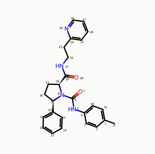 Cc1ccc(NC(=O)N2[C@@H](c3ccccc3)CC[C@H]2C(=O)NCCc2ccccn2)cc1